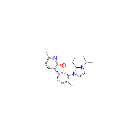 CCC1N(c2c(C)ccc3c2oc2nc(C)ccc23)C=CN1C(C)C